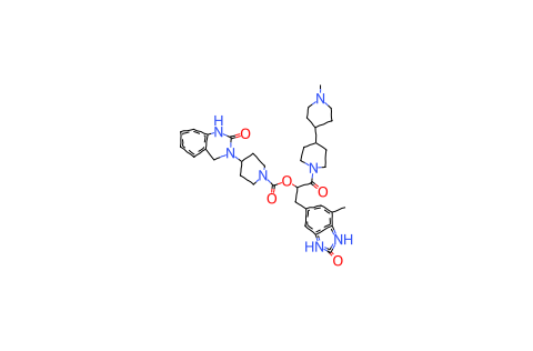 Cc1cc(CC(OC(=O)N2CCC(N3Cc4ccccc4NC3=O)CC2)C(=O)N2CCC(C3CCN(C)CC3)CC2)cc2[nH]c(=O)[nH]c12